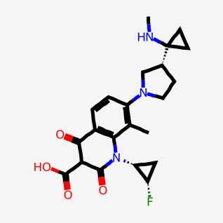 CNC1([C@@H]2CCN(c3ccc4c(c3C)N([C@@H]3C[C@@H]3F)C(=O)C(C(=O)O)C4=O)C2)CC1